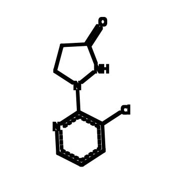 O=C1CCN(c2ncccc2Cl)N1